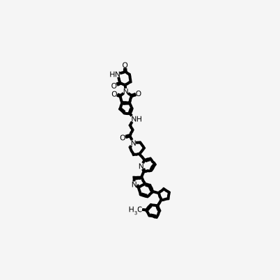 Cc1cccc(C2CCCC2C2=C=C3C(c4cccc(C5CCN(C(=O)CCNc6ccc7c(c6)C(=O)N(C6CCC(=O)NC6=O)C7=O)CC5)n4)=CN=C3C=C2)c1